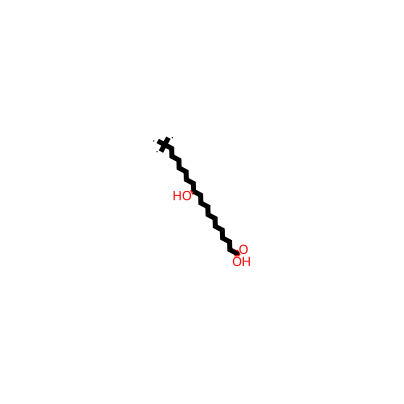 [CH2]C([CH2])([CH2])CCCCCCCC(O)CCCCCCCCCCC(=O)O